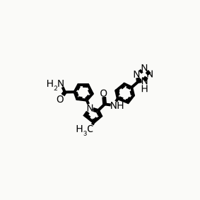 Cc1cc(C(=O)Nc2ccc(-c3nnn[nH]3)cc2)n(-c2cccc(C(N)=O)c2)c1